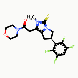 Cn1c(CC(=O)N2CCOCC2)c2n(c1=S)C[C@@H](c1c(F)c(F)cc(F)c1F)C2